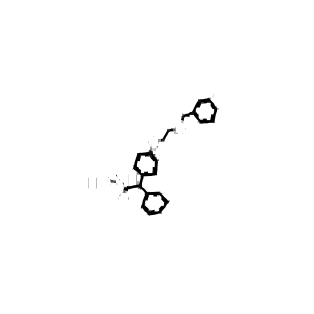 O=C(NO)C(c1ccccc1)c1ccc(OCCOCc2ccccc2)cc1